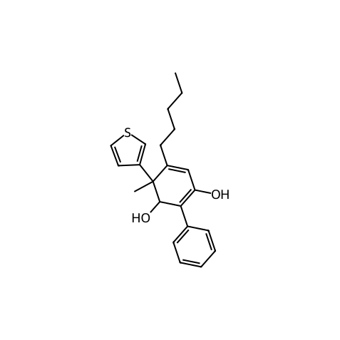 CCCCCC1=CC(O)=C(c2ccccc2)C(O)C1(C)c1ccsc1